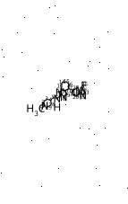 CN1CCC(CNc2ncc3c(n2)CCCC=C3c2ccc3ncc(F)n3c2)CC1